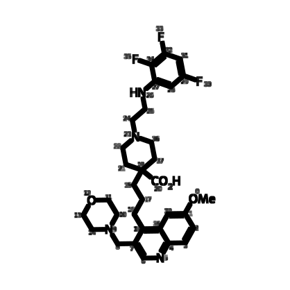 COc1ccc2ncc(CN3CCOCC3)c(CCCC3(C(=O)O)CCN(CCNc4cc(F)cc(F)c4F)CC3)c2c1